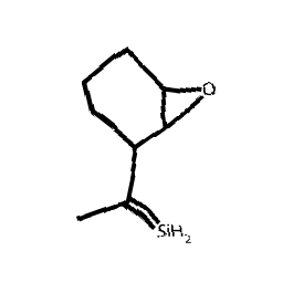 CC(=[SiH2])C1CCCC2OC21